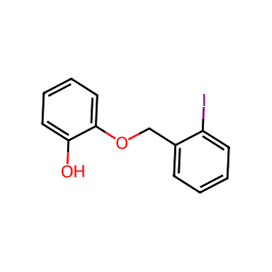 Oc1ccccc1OCc1ccccc1I